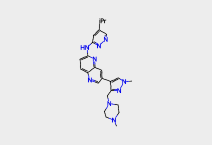 CC(C)c1cnnc(Nc2ccc3ncc(-c4cn(C)nc4CN4CCN(C)CC4)cc3n2)c1